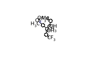 COC(=O)/C=C(\C)c1ccc(C(C[C@H](O)c2cccc(C(F)(F)F)c2)C(C)C[C@H](O)c2cccc(C(F)(F)F)c2)cc1